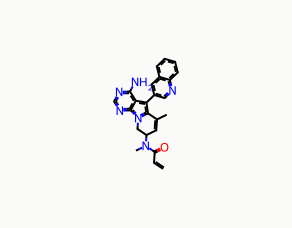 C=CC(=O)N(C)C1C=C(C)c2c(-c3cnc4ccccc4c3)c3c(N)ncnc3n2C1